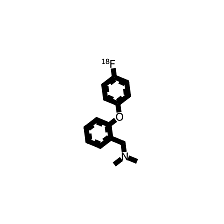 CN(C)Cc1ccccc1Oc1ccc([18F])cc1